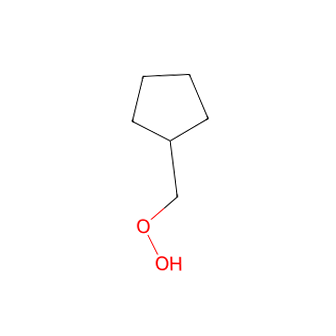 OOCC1CCCC1